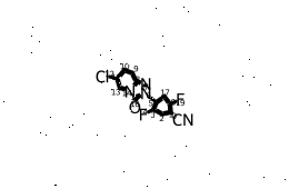 N#Cc1cc(F)c(-n2nc3ccc(Cl)cn3c2=O)cc1F